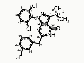 CN(C)c1nn(-c2c(Cl)cccc2Cl)c2nc(Cc3cccc(F)c3)[nH]c(=O)c12